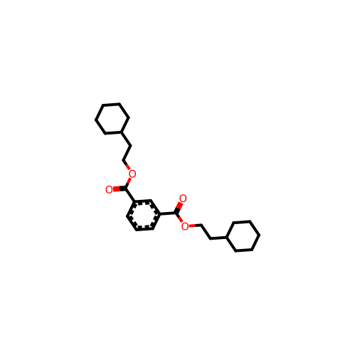 O=C(OCCC1CCCCC1)c1cccc(C(=O)OCCC2CCCCC2)c1